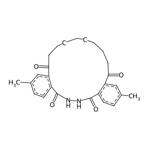 Cc1ccc2c(c1)C(=O)CCCCCCCCC(=O)c1cc(C)ccc1C(=O)NNC2=O